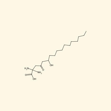 CCCCCCCCCCCC(O)CC(=O)CC(N)(N)C(=O)O